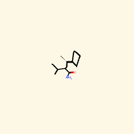 CC(C)C(C(N)=O)[C@H](C)C1CCC1